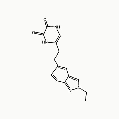 CCn1cc2cc(CCc3c[nH]c(=O)c(=O)[nH]3)ccc2n1